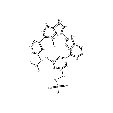 CN(C)Cc1cncc(-c2cnc3[nH]nc(-c4nc5c(-c6cc(F)cc(CNS(C)(=O)=O)c6)nccc5[nH]4)c3c2F)c1